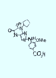 CCC[C@@H]1C(=O)N(C)c2cnc(Nc3ccc(C(=O)O)cc3OC)nc2N1C1CCCC1